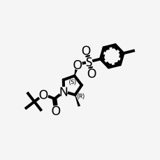 Cc1ccc(S(=O)(=O)O[C@H]2C[C@@H](C)N(C(=O)OC(C)(C)C)C2)cc1